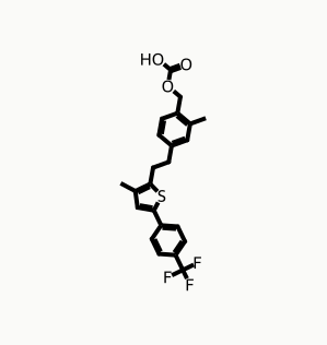 Cc1cc(CCc2sc(-c3ccc(C(F)(F)F)cc3)cc2C)ccc1COC(=O)O